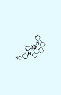 N#Cc1ccc2c(c1)c1ccccc1n2-c1cccc(-c2ccccc2C#N)c1-c1cccc(-n2c3ccccc3c3ccccc32)c1